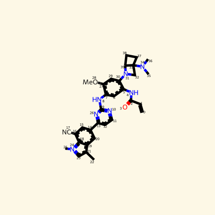 C=CC(=O)Nc1cc(Nc2nccc(-c3cc(C#N)c4c(c3)c(C)cn4C)n2)c(OC)cc1N1CC2(N(C)C)CCC12